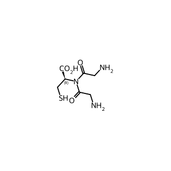 NCC(=O)N(C(=O)CN)[C@@H](CS)C(=O)O